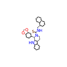 S=C(NCc1cccc2ccccc12)N1CCc2c([nH]c3ccccc23)[C@H]1c1ccc2c(c1)OCO2